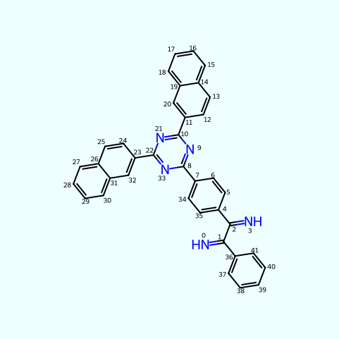 N=C(C(=N)c1ccc(-c2nc(-c3ccc4ccccc4c3)nc(-c3ccc4ccccc4c3)n2)cc1)c1ccccc1